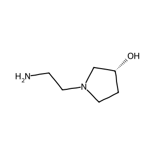 NCCN1CC[C@@H](O)C1